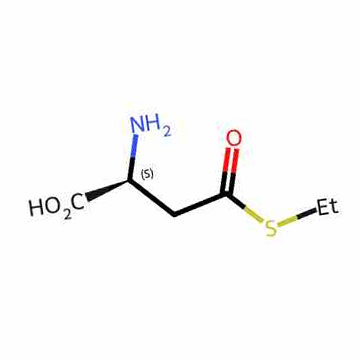 CCSC(=O)C[C@H](N)C(=O)O